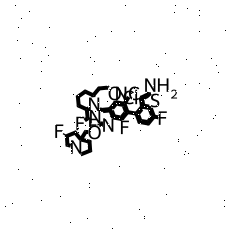 N#Cc1c(N)sc2c(F)ccc(-c3c(Cl)c4c5c(nc(OCC67CCCN6C[C@H](F)C7)nc5c3F)N3C(CCCC3C(F)F)CCO4)c12